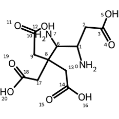 NC(CC(=O)O)C(N)C(CC(=O)O)(CC(=O)O)CC(=O)O